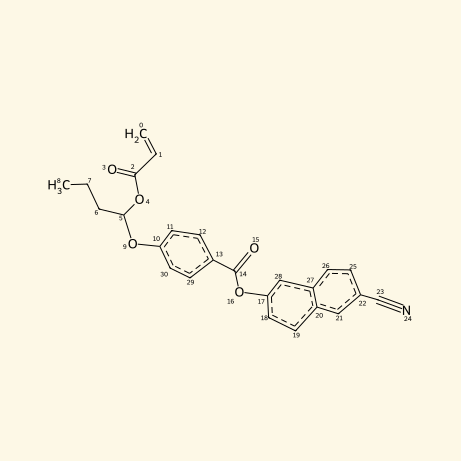 C=CC(=O)OC(CCC)Oc1ccc(C(=O)Oc2ccc3cc(C#N)ccc3c2)cc1